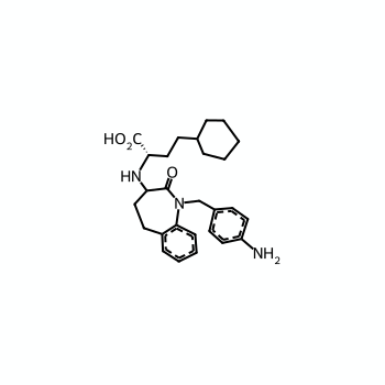 Nc1ccc(CN2C(=O)C(N[C@@H](CCC3CCCCC3)C(=O)O)CCc3ccccc32)cc1